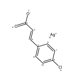 O=C([O-])C=Cc1ccc(Cl)cc1.[Ag+]